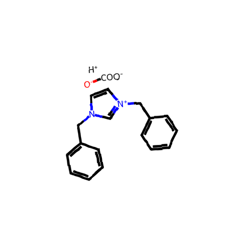 O=C([O-])[O-].[H+].c1ccc(Cn2cc[n+](Cc3ccccc3)c2)cc1